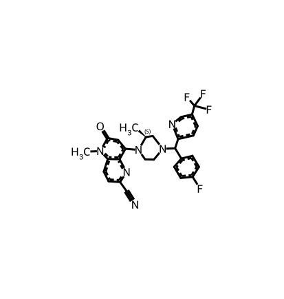 C[C@H]1CN(C(c2ccc(F)cc2)c2ccc(C(F)(F)F)cn2)CCN1c1cc(=O)n(C)c2ccc(C#N)nc12